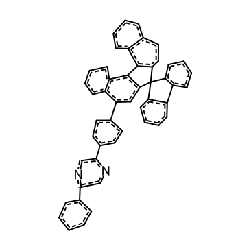 c1ccc(-c2cnc(-c3ccc(-c4cc5c(c6ccccc46)-c4c(ccc6ccccc46)C54c5ccccc5-c5ccccc54)cc3)cn2)cc1